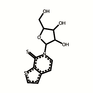 OCC1OC(n2ccc3ccsc3c2=S)C(O)C1O